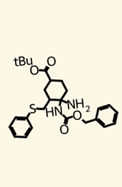 CC(C)(C)OC(=O)C1CCC(N)(NC(=O)OCc2ccccc2)C(CSc2ccccc2)C1